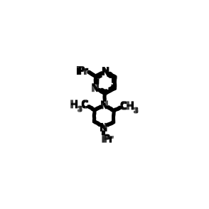 CC(C)c1nccc(N2C(C)CN(C(C)C)CC2C)n1